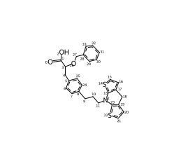 O=C(O)C(Cc1ccc(CCCN2c3sccc3Cc3ccsc32)cc1)OCc1ccccc1